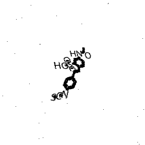 CC(=O)Nc1ccc(C=Cc2ccc(N=C=S)cc2)c(S(=O)(=O)O)c1